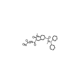 CN(C(=O)c1ccc2c(c1)cc(C(=O)NCC(=O)N=O)c(=O)n2C)C(c1ccccc1)c1ccccc1